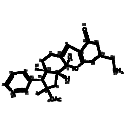 CC(=O)OC1(C)C[C@H]2[C@@H]3OC4=C(C=C3CC[C@]2(C)[C@H]1c1cccnc1)C(=O)CC(CN)C4